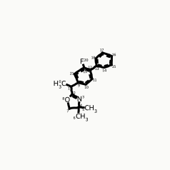 CC(C1=NC(C)(C)CO1)c1ccc(-c2ccccc2)c(F)c1